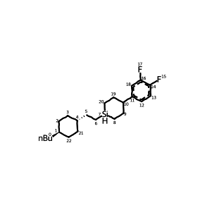 CCCC[C@H]1CC[C@H](CC[SiH]2CCC(c3ccc(F)c(F)c3)CC2)CC1